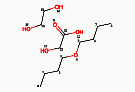 CCCCOCCCC.O=C(O)CO.OCCO